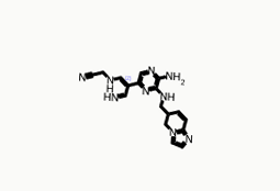 N#CCN/C=C(\C=N)c1cnc(N)c(NCC2C=Cc3nccn3C2)n1